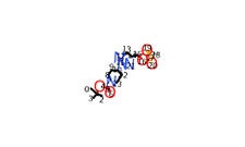 CC(C)(C)OC(=O)N1CCC(n2ncc(COS(C)(=O)=O)n2)CC1